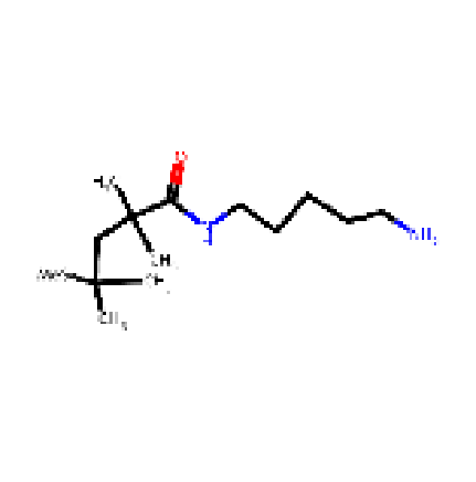 CSC(C)(C)CC(C)(C)C(=O)NCCCCCN